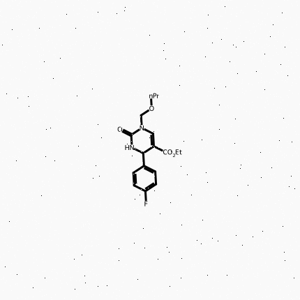 CCCOCN1C=C(C(=O)OCC)C(c2ccc(F)cc2)NC1=O